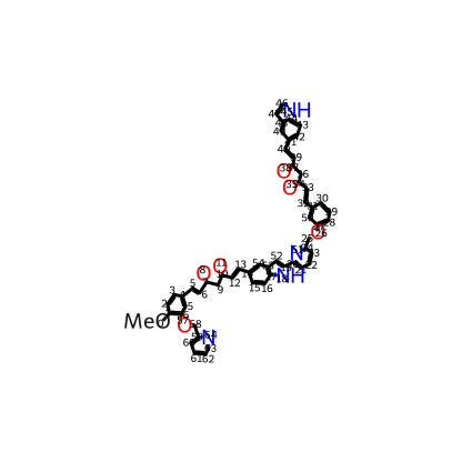 COc1ccc(/C=C/C(=O)CC(=O)/C=C/c2ccc3[nH]c(-c4cccc(COc5cccc(/C=C/C(=O)CC(=O)/C=C/c6ccc7[nH]ccc7c6)c5)n4)cc3c2)cc1OCc1ccccn1